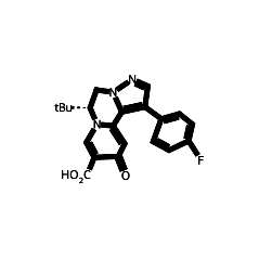 CC(C)(C)[C@@H]1Cn2ncc(-c3ccc(F)cc3)c2-c2cc(=O)c(C(=O)O)cn21